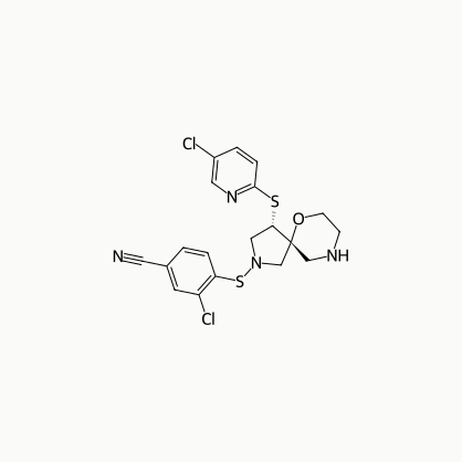 N#Cc1ccc(SN2C[C@H](Sc3ccc(Cl)cn3)[C@@]3(CNCCO3)C2)c(Cl)c1